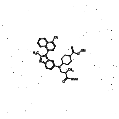 COC(=O)C(C)CN(c1ccc2nc(C)n(-c3ccc(C#N)c4ccccc34)c2c1)C1CCN(C(=O)OC(C)(C)C)CC1